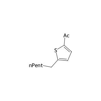 CCCCCCc1ccc(C(C)=O)s1